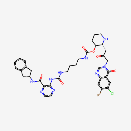 O=C(C[C@H]1NCCC[C@@H]1OC(=O)NCCCCNC(=O)Nc1nccnc1C(=O)NC1Cc2ccccc2C1)Cn1cnc2cc(Br)c(Cl)cc2c1=O